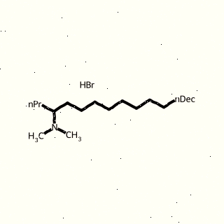 Br.CCCCCCCCCCCCCCCCCCC(CCC)N(C)C